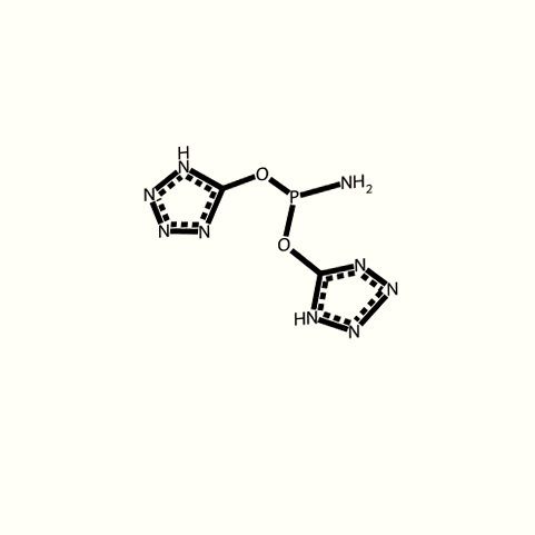 NP(Oc1nnn[nH]1)Oc1nnn[nH]1